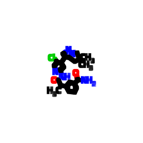 CC(C(=O)Nc1cc(-c2cnn3c2CC(C)(C)C3)c(Cl)cn1)c1cccc(C(N)=O)c1